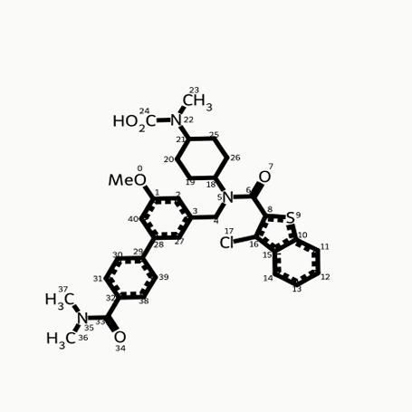 COc1cc(CN(C(=O)c2sc3ccccc3c2Cl)C2CCC(N(C)C(=O)O)CC2)cc(-c2ccc(C(=O)N(C)C)cc2)c1